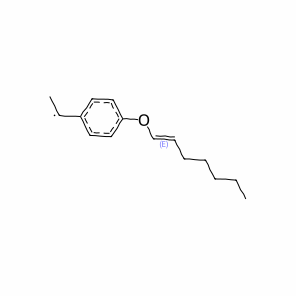 C[CH]c1ccc(O/C=C/CCCCC)cc1